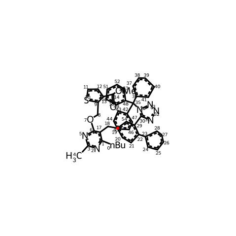 CCCCc1nc(C)nc(OCc2sccc2C(=O)OC)c1Cc1ccc(-c2ccccc2)c(-c2nnnn2C(c2ccccc2)(c2ccccc2)c2ccccc2)c1